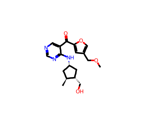 COCc1coc(C(=O)c2cncnc2N[C@@H]2C[C@H](CO)[C@@H](C)C2)c1